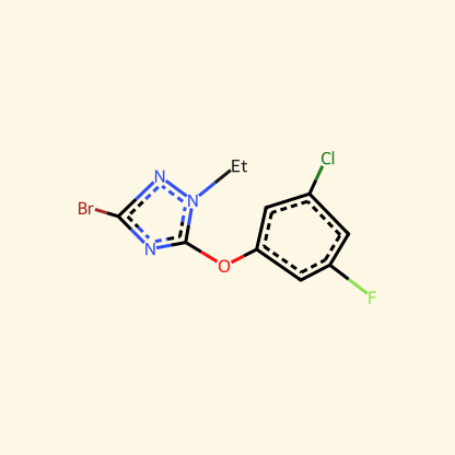 CCn1nc(Br)nc1Oc1cc(F)cc(Cl)c1